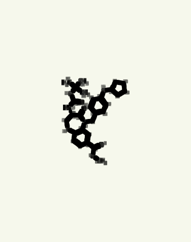 COC(=O)c1ccc2c(c1)N(Cc1ccc(OC3CCCC3)cc1)C(=O)[C@@H](NC(=O)OC(C)(C)C)CS2